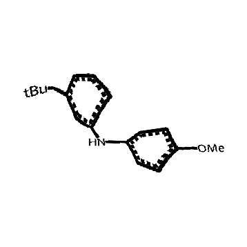 COc1ccc(Nc2cccc(C(C)(C)C)c2)cc1